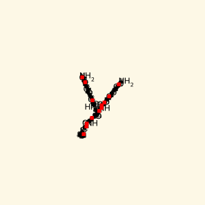 NOCCOCCOCCOCCOCCC(=O)NCCN(CCNC(=O)CCOCCOCCOCCOCCON)C(=O)CCCCCNC(=O)CCSSc1ccccc1